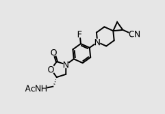 CC(=O)NC[C@H]1CN(c2ccc(N3CCC4(CC3)CC4C#N)c(F)c2)C(=O)O1